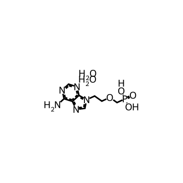 Nc1ncnc2c1ncn2CCOCP(=O)(O)O.O.O